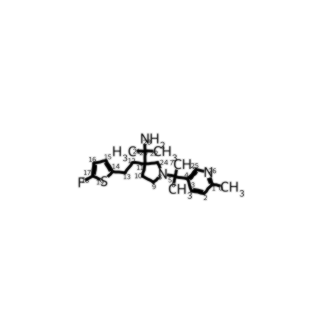 Cc1ccc(C(C)(C)N2CCC(CCc3ccc(F)s3)(C(C)(C)N)C2)cn1